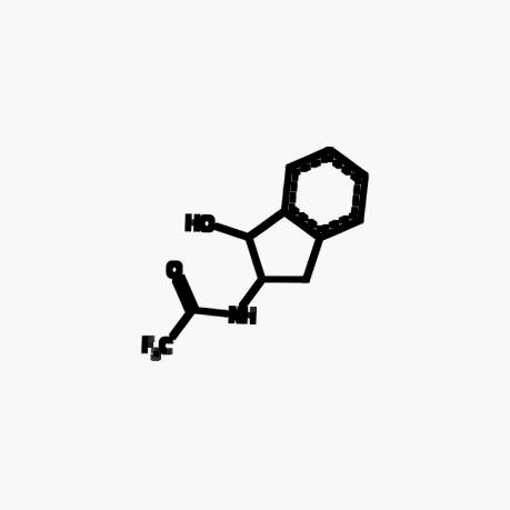 O=C(NC1Cc2ccccc2C1O)C(F)(F)F